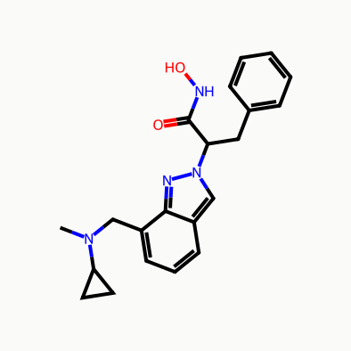 CN(Cc1cccc2cn(C(Cc3ccccc3)C(=O)NO)nc12)C1CC1